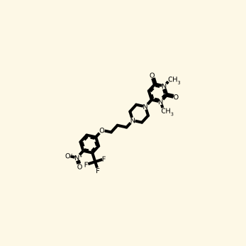 Cn1c(N2CCN(CCCOc3ccc([N+](=O)[O-])c(C(F)(F)F)c3)CC2)cc(=O)n(C)c1=O